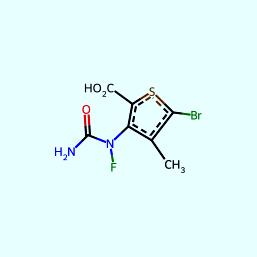 Cc1c(Br)sc(C(=O)O)c1N(F)C(N)=O